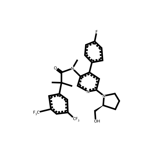 CN(C(=O)C(C)(C)c1cc(C(F)(F)F)cc(C(F)(F)F)c1)c1cnc(N2CCC[C@H]2CO)cc1-c1ccc(F)cc1